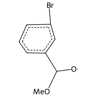 COC([O])c1cccc(Br)c1